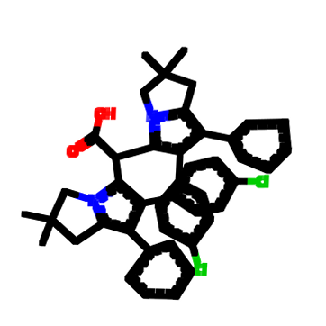 CC1(C)Cc2c(-c3ccccc3)c(-c3ccc(Cl)cc3)c(C(C(=O)O)c3c(-c4ccc(Cl)cc4)c(-c4ccccc4)c4n3CC(C)(C)C4)n2C1